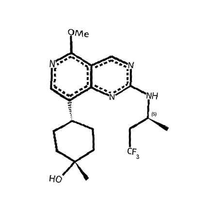 COc1ncc([C@H]2CC[C@@](C)(O)CC2)c2nc(N[C@@H](C)CC(F)(F)F)ncc12